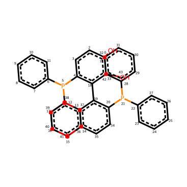 Oc1ccc(P(c2ccccc2)c2ccccc2)c(-c2c(P(c3ccccc3)c3ccccc3)ccc3c2OCCO3)c1O